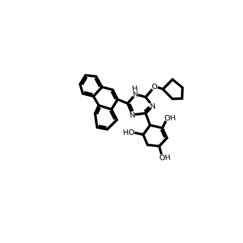 OC1=CC(O)CC(O)C1C1=NC(OC2CCCC2)NC(c2cc3ccccc3c3ccccc23)=N1